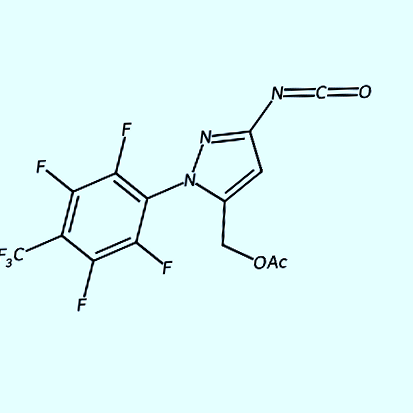 CC(=O)OCc1cc(N=C=O)nn1-c1c(F)c(F)c(C(F)(F)F)c(F)c1F